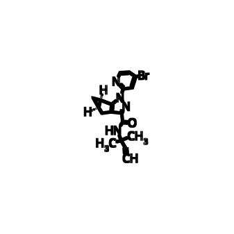 C#CC(C)(C)NC(=O)c1nn(-c2cc(Br)ccn2)c2c1C[C@H]1C[C@@H]21